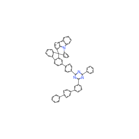 c1ccc(-c2ccc(-c3cccc(-c4nc(-c5ccccc5)nc(-c5ccc(-c6ccc7c(c6)C6(c8ccccc8-7)c7ccccc7-n7c8ccccc8c8cccc6c87)cc5)n4)c3)cc2)cc1